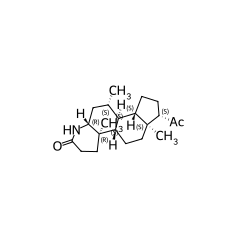 CC(=O)[C@H]1CC[C@H]2[C@@H]3[C@@H](C)C[C@H]4NC(=O)CC[C@]4(C)[C@H]3CC[C@]12C